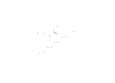 CC(N)C(=O)O.CCCCCCCCCCCC